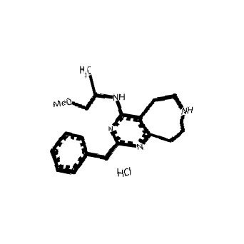 COCC(C)Nc1nc(Cc2ccccc2)nc2c1CCNCC2.Cl